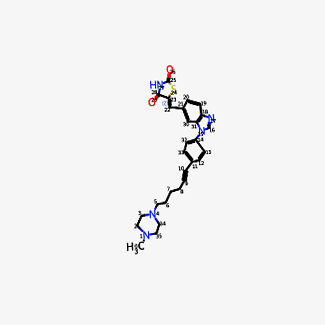 CN1CCN(CCCCC#Cc2ccc(-n3cnc4ccc(/C=C5\SC(=O)NC5=O)cc43)cc2)CC1